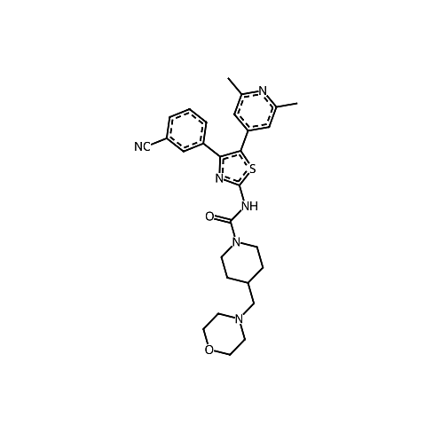 Cc1cc(-c2sc(NC(=O)N3CCC(CN4CCOCC4)CC3)nc2-c2cccc(C#N)c2)cc(C)n1